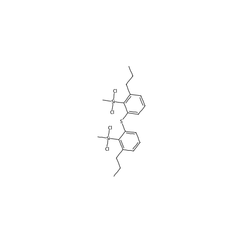 CCCc1cccc(Sc2cccc(CCC)c2[Si](C)(Cl)Cl)c1[Si](C)(Cl)Cl